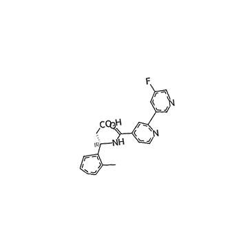 Cc1ccccc1[C@H](CC(=O)O)NC(=O)c1ccnc(-c2cncc(F)c2)c1